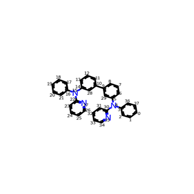 c1ccc(N(c2cccc(-c3cccc(N(c4ccccc4)c4ccccn4)c3)c2)c2ccccn2)cc1